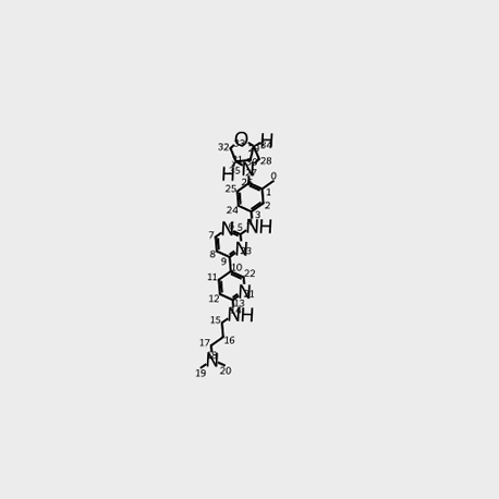 Cc1cc(Nc2nccc(-c3ccc(NCCCN(C)C)nc3)n2)ccc1N1C[C@@H]2C[C@H]1CO2